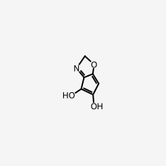 OC1=C(O)C2=NCOC2=C1